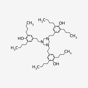 CCCCc1cc(CCN2CN(CCc3cc(CCCC)c(O)c(CCCC)c3)CN(CCc3cc(CCCC)c(O)c(CCCC)c3)C2)cc(CCCC)c1O